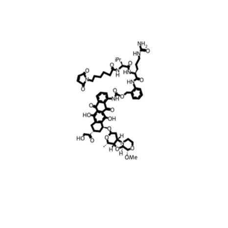 CO[C@H]1OCCN2[C@@H]1O[C@@H]1[C@H](C)OC(O[C@H]3C[C@H](C(=O)CO)Cc4c(O)c5c(c(O)c43)C(=O)c3c(NC(=O)OCc4ccccc4NC(=O)[C@H](CCCNC(N)=O)NC(=O)[C@@H](NC(=O)CCCCCN4C(=O)C=CC4=O)C(C)C)cccc3C5=O)C[C@@H]12